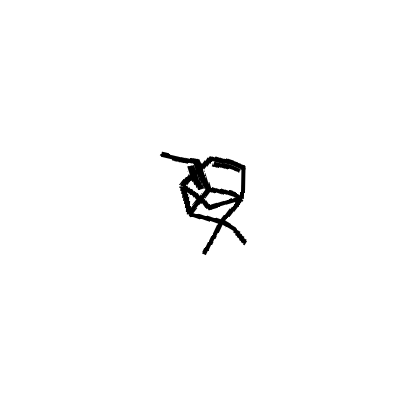 CC=C1C2C3C=CC1(C3)C2(C)C